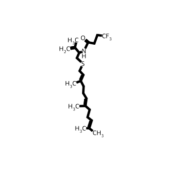 C=C(C)C(CSC/C=C(\C)CC/C=C(\C)CCC=C(C)C)NC(=O)CCC(F)(F)F